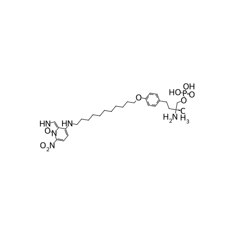 C[C@@](N)(CCc1ccc(OCCCCCCCCCCCNC2=CC=C([N+](=O)[O-])N3ONC=C23)cc1)COP(=O)(O)O